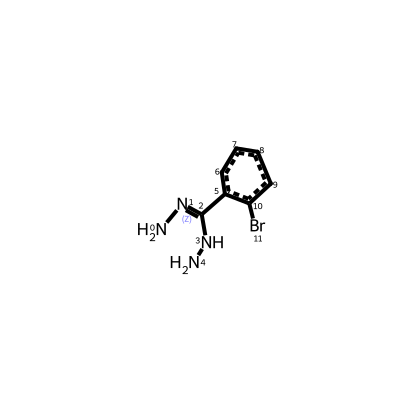 N/N=C(\NN)c1ccccc1Br